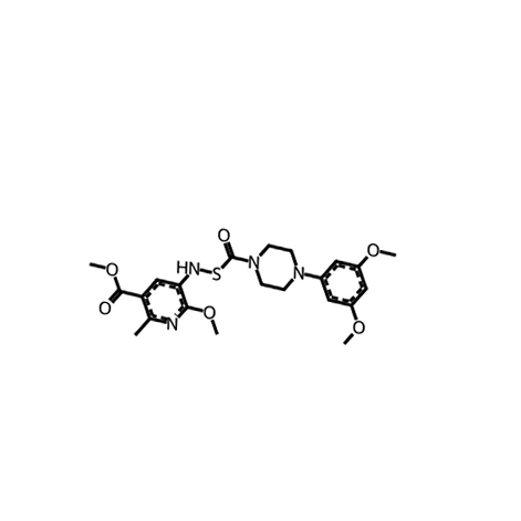 COC(=O)c1cc(NSC(=O)N2CCN(c3cc(OC)cc(OC)c3)CC2)c(OC)nc1C